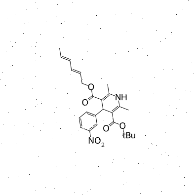 C/C=C/C=C/COC(=O)C1=C(C)NC(C)=C(C(=O)OC(C)(C)C)C1c1cccc([N+](=O)[O-])c1